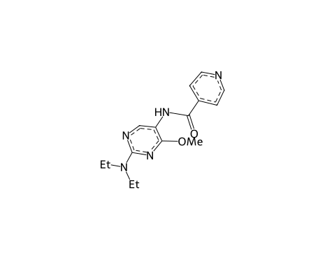 CCN(CC)c1ncc(NC(=O)c2ccncc2)c(OC)n1